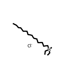 CCCCCCCCCCCCCC[N+](C)(CC)CC.[Cl-]